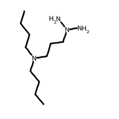 CCCCN(CCCC)CCCN(N)N